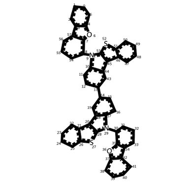 c1ccc2c(c1)oc1c(-n3c4ccc(-c5ccc6c(c5)c5c7ccccc7sc5n6-c5cccc6c5oc5ccccc56)cc4c4c5ccccc5sc43)cccc12